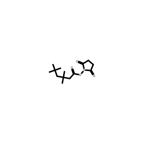 CC(C)(C)CC(C)(C)CC(=O)ON1C(=O)CCC1=O